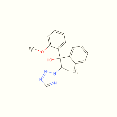 CC(n1ncnn1)C(O)(c1ccccc1OC(F)(F)F)c1ccccc1C(F)(F)F